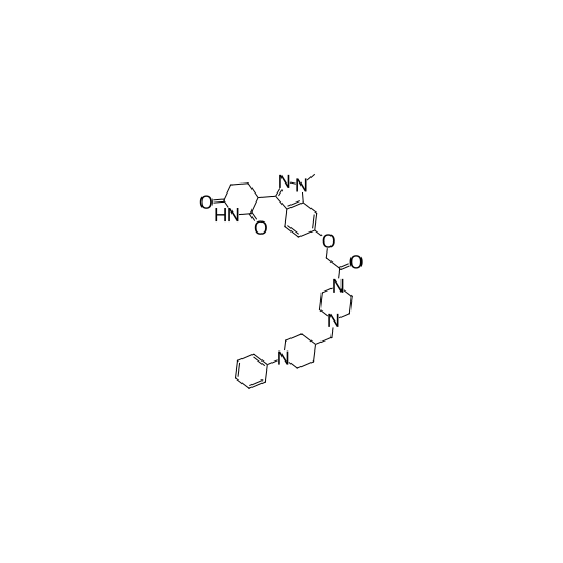 Cn1nc(C2CCC(=O)NC2=O)c2ccc(OCC(=O)N3CCN(CC4CCN(c5ccccc5)CC4)CC3)cc21